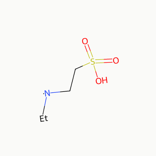 CC[N]CCS(=O)(=O)O